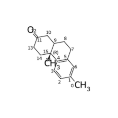 Cc1ccc2c(c1)CCC1CC(=O)CC[C@@]21C